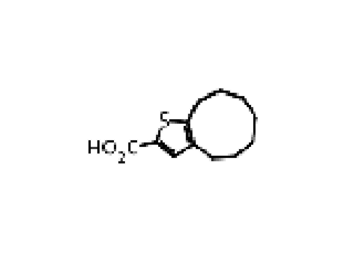 O=C(O)c1cc2c(s1)CCCCCCC2